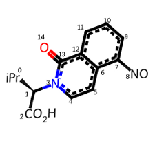 CC(C)[C@H](C(=O)O)n1ccc2c(N=O)cccc2c1=O